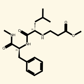 CNC(=O)[C@H](Cc1ccccc1)NC(=O)[C@H](CC(C)C)NCCC(=O)OC